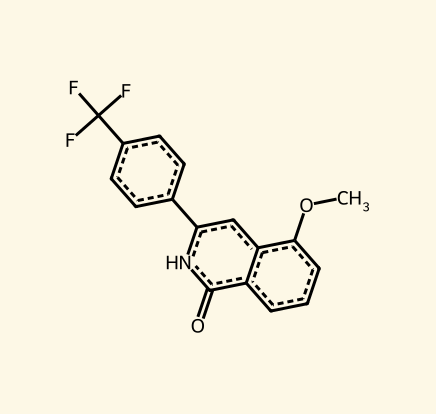 COc1cccc2c(=O)[nH]c(-c3ccc(C(F)(F)F)cc3)cc12